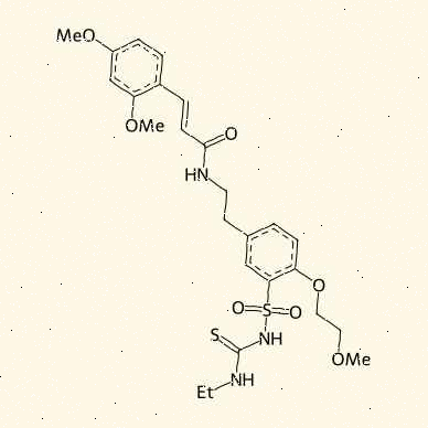 CCNC(=S)NS(=O)(=O)c1cc(CCNC(=O)/C=C/c2ccc(OC)cc2OC)ccc1OCCOC